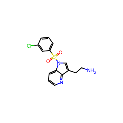 NCCc1cn(S(=O)(=O)c2cccc(Cl)c2)c2cccnc12